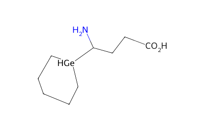 N[CH](CCC(=O)O)[GeH]1[CH2]CCC[CH2]1